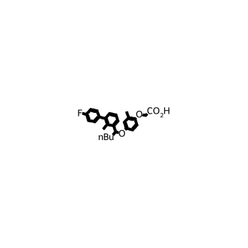 CCCCC(Oc1ccc(OCC(=O)O)c(C)c1)c1cccc(-c2ccc(F)cc2)c1C